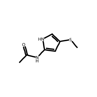 CSc1c[nH]c(NC(C)=O)c1